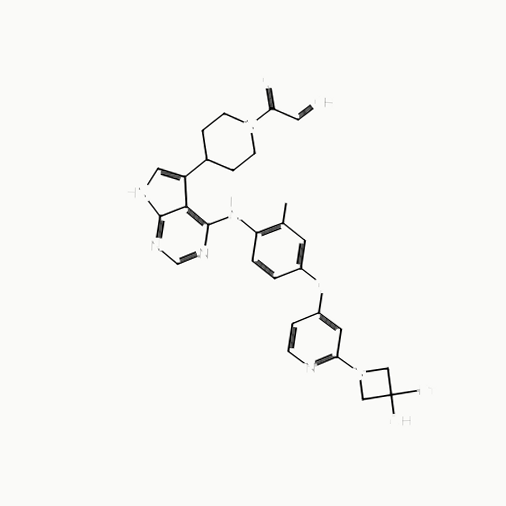 C=CC(=O)N1CCC(c2c[nH]c3ncnc(Nc4ccc(Oc5ccnc(N6CC(O)(C(C)C)C6)c5)cc4F)c23)CC1